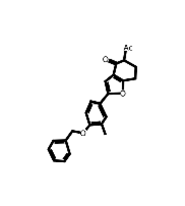 CC(=O)C1CCc2oc(-c3ccc(OCc4ccccc4)c(C)c3)cc2C1=O